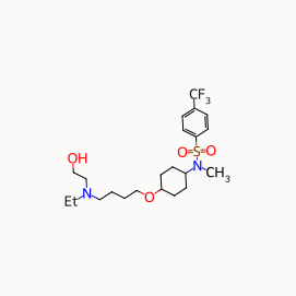 CCN(CCO)CCCCOC1CCC(N(C)S(=O)(=O)c2ccc(C(F)(F)F)cc2)CC1